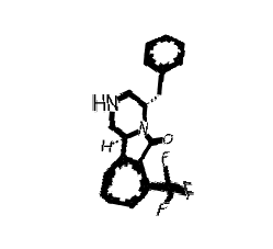 O=C1c2c(cccc2C(F)(F)F)[C@H]2CNC[C@H](Cc3ccccc3)N12